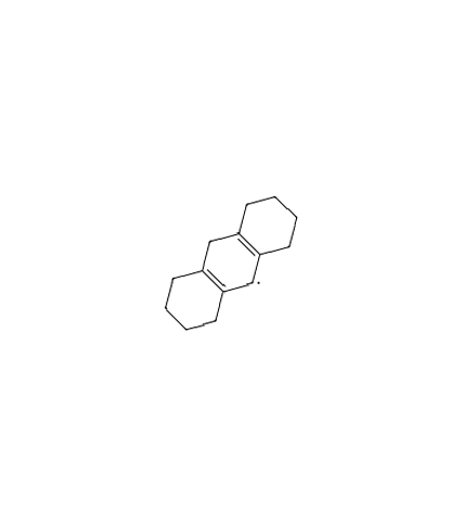 [CH]1C2=C(CCCC2)CC2=C1CCCC2